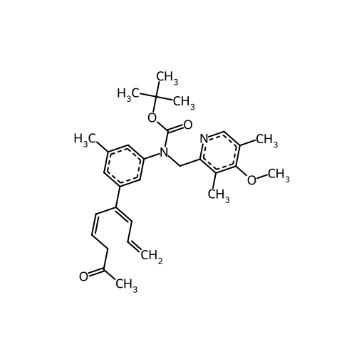 C=C/C=C(\C=C/CC(C)=O)c1cc(C)cc(N(Cc2ncc(C)c(OC)c2C)C(=O)OC(C)(C)C)c1